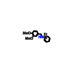 CC[C@]1(NCc2ccc(OC)c(OC)c2)C=CC=CC1